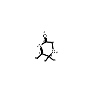 CC1=NC(=O)COC1(C)C